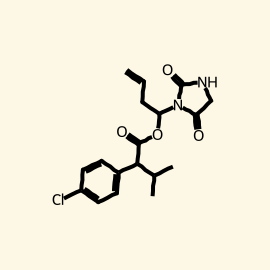 C=CCC(OC(=O)C(c1ccc(Cl)cc1)C(C)C)N1C(=O)CNC1=O